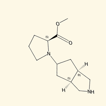 COC(=O)[C@@H]1CCCN1C1C[C@H]2CNC[C@H]2C1